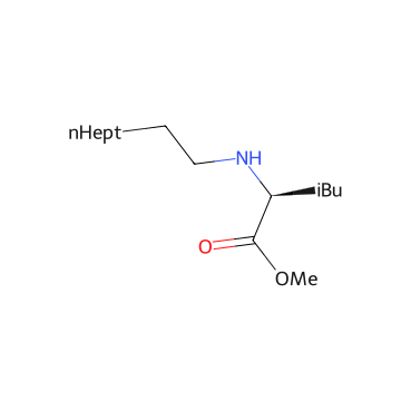 CCCCCCCCCN[C@H](C(=O)OC)C(C)CC